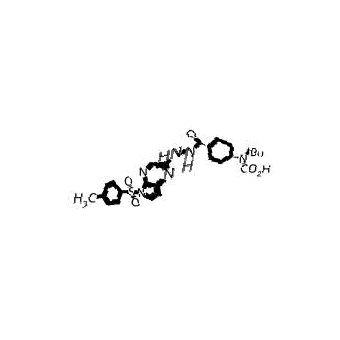 Cc1ccc(S(=O)(=O)n2ccc3nc(NNC(=O)[C@H]4CC[C@@H](N(C(=O)O)C(C)(C)C)CC4)cnc32)cc1